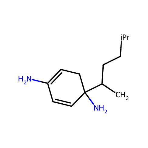 CC(C)CCC(C)C1(N)C=CC(N)=CC1